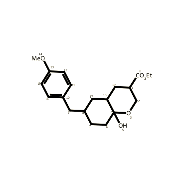 CCOC(=O)C1COC2(O)CCC(Cc3ccc(OC)cc3)CC2C1